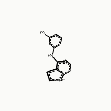 Oc1cccc(Nc2cccc3[nH]ccc23)c1